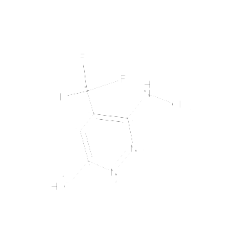 CNc1nnc(C)cc1C(F)(F)F